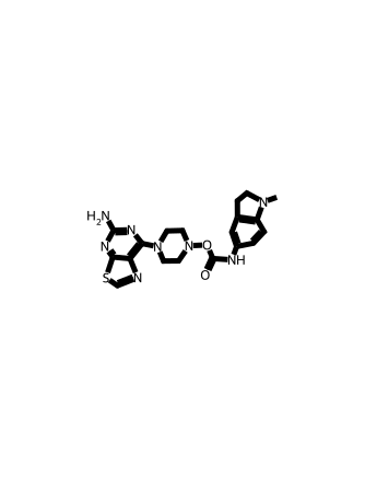 CN1CCc2cc(NC(=O)ON3CCN(c4nc(N)nc5scnc45)CC3)ccc21